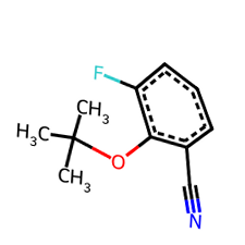 CC(C)(C)Oc1c(F)cccc1C#N